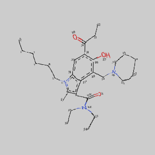 CCCCCCn1c(C)c(C(=O)N(CC)CC)c2c(CN3CCCCC3)c(O)c(C(=O)CC)cc21